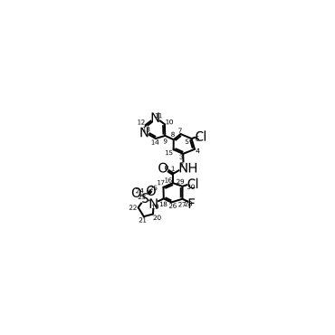 O=C(Nc1cc(Cl)cc(-c2cncnc2)c1)c1cc(N2CCCS2(=O)=O)cc(F)c1Cl